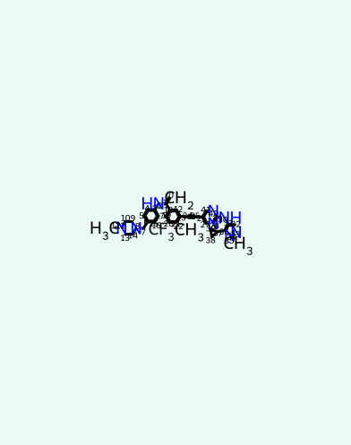 C=C(Nc1ccc(CN2CCN(C)CC2)c(C(F)(F)F)c1)c1ccc(C)c(C#Cc2cnc(Nc3cnn(C)c3C3CC3)nc2)c1